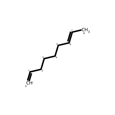 [CH]=CCCCCC=CC